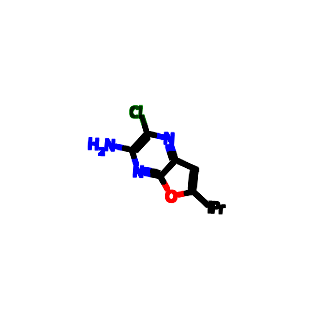 CC(C)c1cc2nc(Cl)c(N)nc2o1